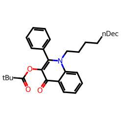 CCCCCCCCCCCCCCn1c(-c2ccccc2)c(OC(=O)C(C)(C)C)c(=O)c2ccccc21